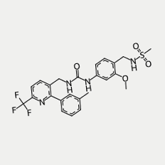 COc1cc(NC(=O)NCc2ccc(C(F)(F)F)nc2-c2cccc(C)c2)ccc1CNS(C)(=O)=O